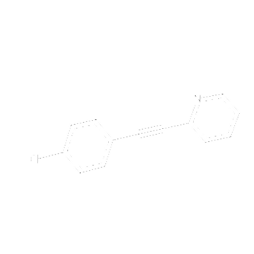 Clc1ccc(C#Cc2ccc[c]n2)cc1